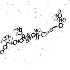 CC1(C)CCC(CN2CCN(c3ccc(C(=O)NS(=O)(=O)c4ccc(NCC5CCN(CCOCC#Cc6cccc7c6CN(C6CCC(=O)NC6=O)C7=O)CC5)c([N+](=O)[O-])c4)c(Oc4cnc5[nH]ccc5c4)c3)CC2)=C(c2ccc(Cl)cc2)C1